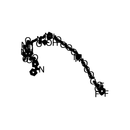 COc1cnc(-n2cnc(C(=O)NCCCN(CCCN3CCN(CCOCCOCCOCCOCc4cn(CCOCCOCCOCCOCCC(=O)Oc5c(F)cc(F)cc5F)nn4)CC3)C(=O)[C@H]3C[C@H](O)C3)n2)c2[nH]cc(C(=O)C(=O)N3CCC(=C(C#N)c4ccccc4)CC3)c12